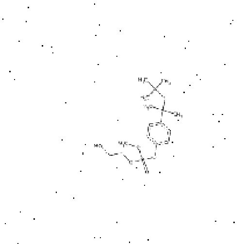 COP(=O)(OCCO)Oc1ccc(C(C)(C)CC(C)(C)C)cc1